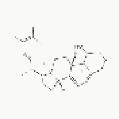 CC(C)=C(C)C=C[C@@H](C)[C@H]1CC[C@H]2C3=CC=C4CCCC(O)[C@]4(C)[C@H]3CC[C@]12C